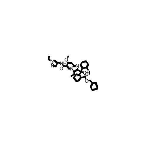 CCc1c(C(O)(c2ccccc2C)c2ccccc2C(=O)OCc2ccccc2)nc2cc(OC)c(C(=O)Nc3cnn(CC)c3)cn12